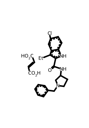 CCc1c(C(=O)NC2CCN(Cc3ccccc3)C2)[nH]c2ccc(Cl)cc12.O=C(O)C=CC(=O)O